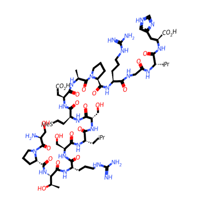 CSCC[C@H](NC(=O)[C@H](CO)NC(=O)[C@H](CC(C)C)NC(=O)[C@H](CO)NC(=O)[C@H](CCCNC(=N)N)NC(=O)[C@@H](NC(=O)[C@@H]1CCCN1C(=O)[C@@H](N)CO)[C@@H](C)O)C(=O)N[C@@H](CC(=O)O)C(=O)N[C@@H](C)C(=O)N1CCC[C@H]1C(=O)N[C@@H](CCCNC(=N)N)C(=O)NCC(=O)N[C@H](C(=O)N[C@@H](Cc1c[nH]cn1)C(=O)O)C(C)C